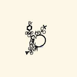 CC(C)(C)OC(=O)N[C@H]1CCCCC/C=C\C2C[C@@]2(C(=O)NS(=O)(=O)C2CC2)NC(=O)[C@@H]2C[C@H](OS(=O)(=O)c3ccc(Br)cc3)CN2C1=O